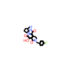 CC1CCCC12NC(=O)c1c3c(c(O)c(=O)n12)C(=O)N(Cc1ccc(F)cc1)CC3